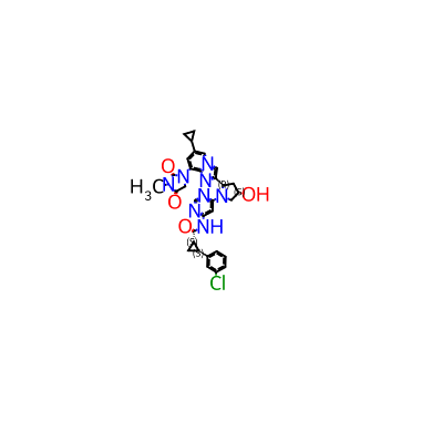 CN1C(=O)CN(c2cc(C3CC3)cn3cc([C@H]4C[C@H](O)CN4c4cc(NC(=O)[C@H]5C[C@@H]5c5cccc(Cl)c5)ncn4)nc23)C1=O